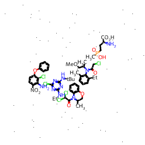 CC1COc2ccccc2N1C(=O)C(Cl)Cl.CCNc1nc(Cl)nc(NC(C)(C)C)n1.CCc1cccc(C)c1N(C(=O)CCl)C(C)COC.CP(=O)(O)CCC(N)C(=O)O.Nc1c([N+](=O)[O-])ccc(Oc2ccccc2)c1Cl